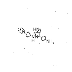 Nc1ccc(-c2nc(Nc3ccc(N4CCOCC4)cc3)nc3[nH]ccc23)cc1